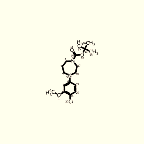 COc1cc(N2CCCN(C(=O)OC(C)(C)C)CC2)ccc1Cl